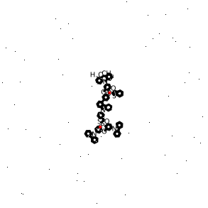 CC1(C)c2ccccc2N(c2cc3c4c(c2)Oc2c(sc5ccccc25)P4(=O)c2ccc(-c4cccc5c4c4c(n5-c5ccc6sc7c(c6c5)Oc5cc(-n6c8ccccc8c8ccccc86)cc6c5P7(=S)c5ccc(-n7c8ccccc8c8ccccc87)cc5O6)C=CCC4)cc2O3)c2ccccc21